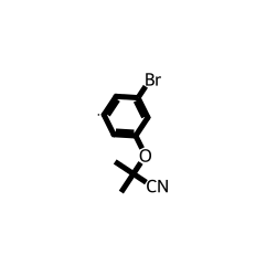 CC(C)(C#N)Oc1c[c]cc(Br)c1